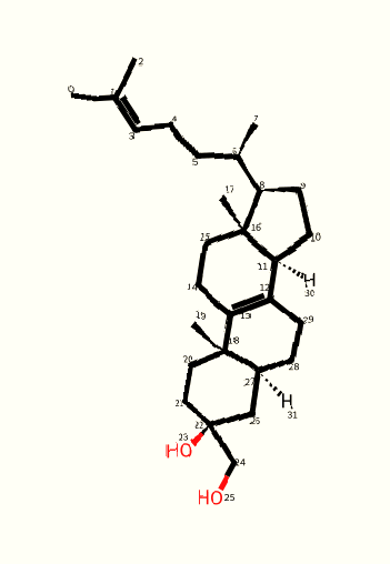 CC(C)=CCC[C@@H](C)[C@H]1CC[C@H]2C3=C(CC[C@]12C)[C@@]1(C)CC[C@@](O)(CO)C[C@@H]1CC3